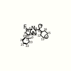 CC1([C@@H]2C[C@H](F)c3nc(C(=O)C4CCOCC4)nn32)C=CC=CC1